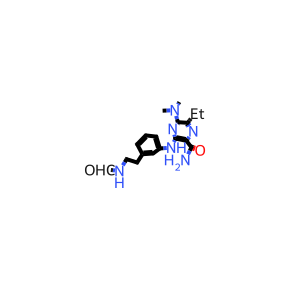 CCc1nc(C(N)=O)c(Nc2cccc(CCNC=O)c2)nc1N(C)C